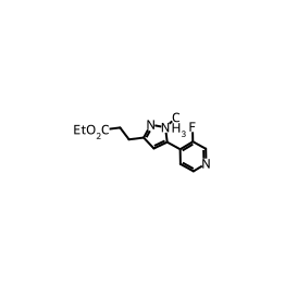 CCOC(=O)CCc1cc(-c2ccncc2F)n(C)n1